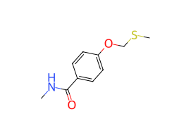 CNC(=O)c1ccc(OCSC)cc1